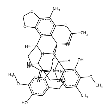 COc1cc2c(cc1O)CCN[C@]21CS[C@@H]2c3c(OC(C)=O)c(C)c4c(c3[C@H](CNC1=O)N1C2[C@H]2c3c(cc(C)c(OC)c3O)CC([C@@H]1O)N2C)OCO4